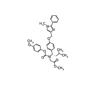 COC(=O)CN(C(=O)Oc1ccc(OC)cc1)[C@@H](CC(C)C)c1ccc(OCc2cn(C)c(-c3ccccc3)n2)cc1